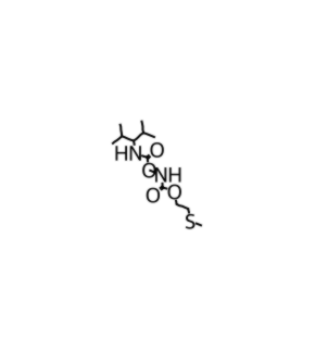 CSCCOC(=O)NOC(=O)NC(C(C)C)C(C)C